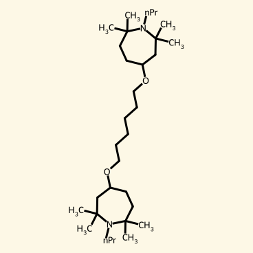 CCCN1C(C)(C)CCC(OCCCCCCOC2CCC(C)(C)N(CCC)C(C)(C)C2)CC1(C)C